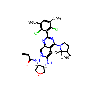 C=CC(=O)N[C@H]1COC[C@H]1Nc1cc2c(N3CCC(C)C3(OC)OC)nc(-c3c(Cl)c(OC)cc(OC)c3Cl)nc2cn1